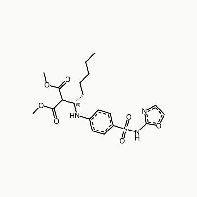 CCCCC[C@H](Nc1ccc(S(=O)(=O)Nc2ncco2)cc1)C(C(=O)OC)C(=O)OC